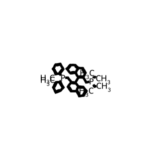 Cc1ccccc1P(Cc1ccc2ccccc2c1-c1c(CP(C(C)C)C(C)C)ccc2ccccc12)c1ccccc1C